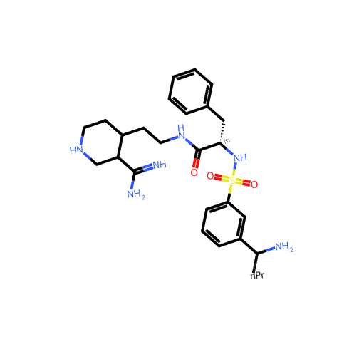 CCCC(N)c1cccc(S(=O)(=O)N[C@@H](Cc2ccccc2)C(=O)NCCC2CCNCC2C(=N)N)c1